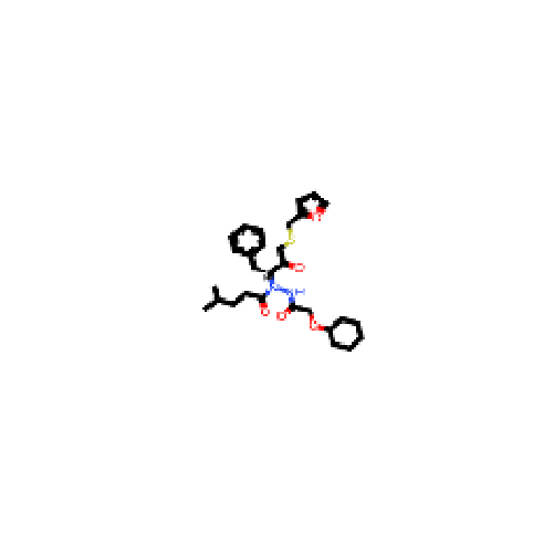 CC(C)CCC(=O)N(NC(=O)COC1CCCCC1)[C@@H](Cc1ccccc1)C(=O)CSCc1ccco1